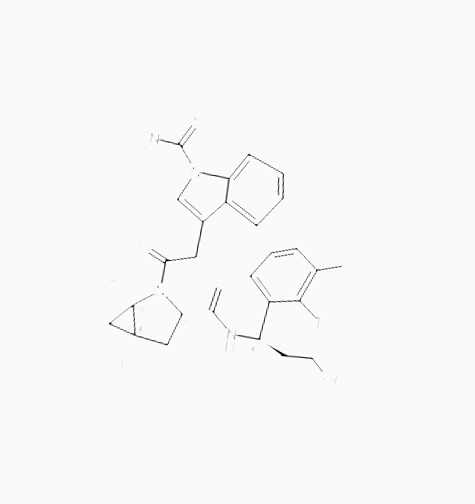 NC(=O)n1cc(CC(=O)N2[C@@H]3C[C@@H]3C[C@H]2C(=O)N[C@H](CCO)c2cccc(Cl)c2F)c2ccccc21